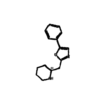 c1ccc(-c2cnc(C[C@@H]3CCCCN3)o2)cc1